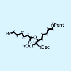 CCCCCC=CCCCC(OC(=O)CCCCCBr)C(CCCCCCCC)CCCCCCCCCC